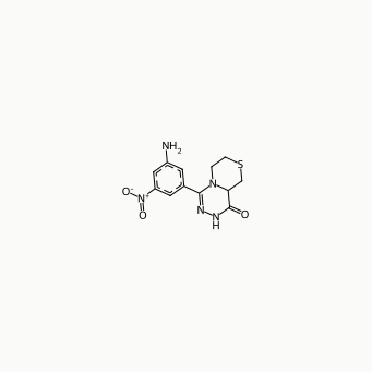 Nc1cc(C2=NNC(=O)C3CSCCN23)cc([N+](=O)[O-])c1